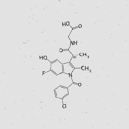 Cc1c([C@@H](C)C(=O)NCC(=O)O)c2cc(O)c(F)cc2n1C(=O)c1cccc(Cl)c1